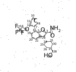 NC(=O)c1oc2c(-c3ccccc3OCC(F)(F)F)cccc2c1[C@H]1CC[C@H](CO)CC1